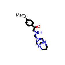 COc1ccc(C(=O)CNCN2CN3CCCN(C3)C2)cc1